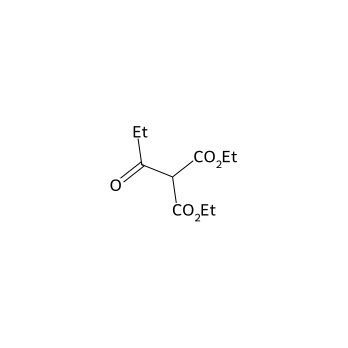 CCOC(=O)C(C(=O)CC)C(=O)OCC